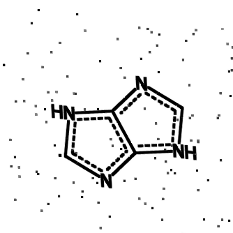 [c]1nc2[nH]cnc2[nH]1